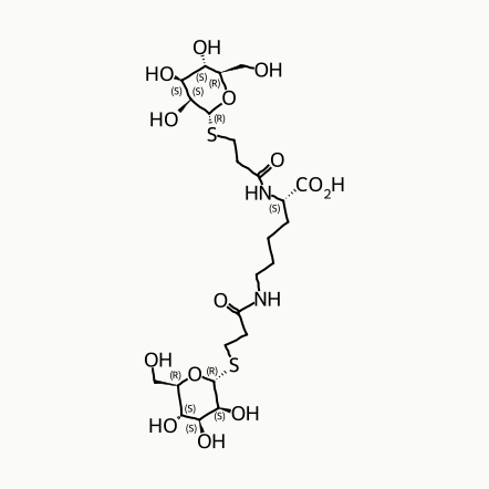 O=C(CCS[C@H]1O[C@H](CO)[C@@H](O)[C@H](O)[C@@H]1O)NCCCC[C@H](NC(=O)CCS[C@H]1O[C@H](CO)[C@@H](O)[C@H](O)[C@@H]1O)C(=O)O